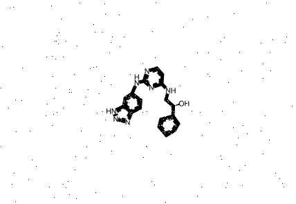 O[C@@H](CNc1ccnc(Nc2ccc3nn[nH]c3c2)n1)c1ccccc1